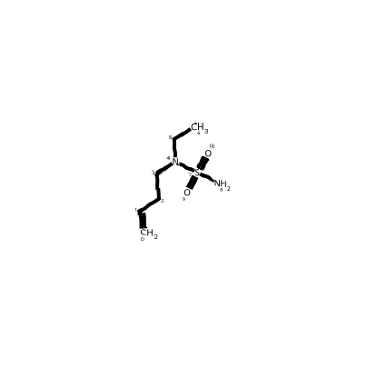 C=CCCN(CC)S(N)(=O)=O